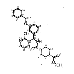 COC(=O)[C@H]1CC[C@H](C(=O)NC(c2cccc(OCc3ccccc3)c2)c2nccnc2Cl)CC1